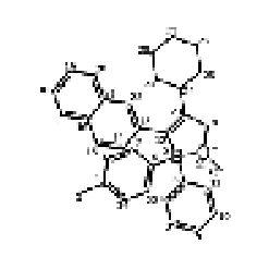 Cc1ccc([B-]2(c3ccccc3)C(c3ccc4ccccc4c3)=C(C3CCCCC3)C[O+]2C)cc1